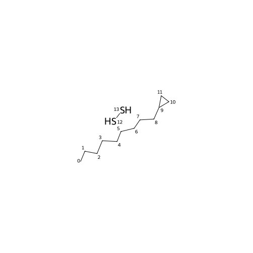 CCCCCCCCCC1CC1.SS